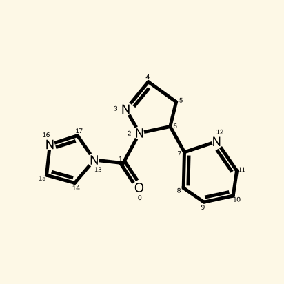 O=C(N1N=CCC1c1ccccn1)n1ccnc1